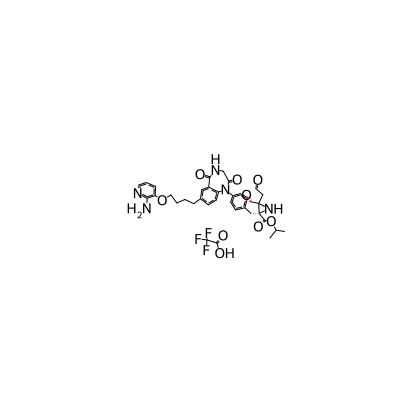 CC(C)OC(=O)[C@]1(Cc2ccc(N3C(=O)CNC(=O)c4cc(CCCCOc5cccnc5N)ccc43)cc2)NC1(C=O)CC=O.O=C(O)C(F)(F)F